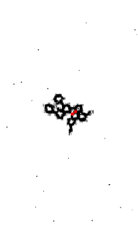 N#Cc1ccc(-n2c3ccccc3c3cc(-c4ccccc4-n4c5ccccc5c5ccccc54)ccc32)c(-c2ccc(C#N)cc2C(F)(F)F)c1